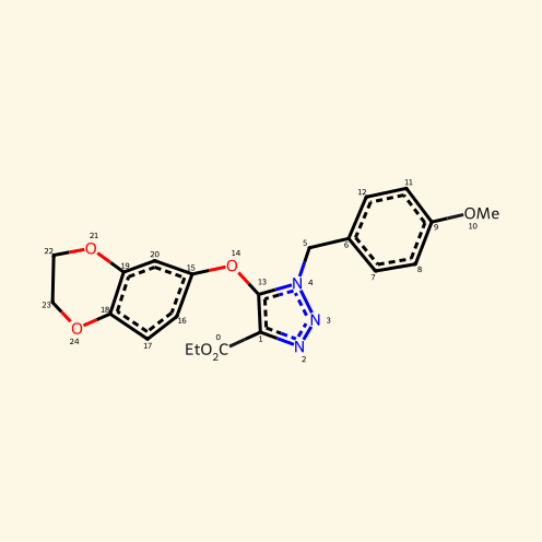 CCOC(=O)c1nnn(Cc2ccc(OC)cc2)c1Oc1ccc2c(c1)OCCO2